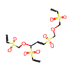 C=CS(=O)(=O)COCS(=O)(=O)C=CC(OCS(=O)(=O)C=C)S(=O)(=O)C=C